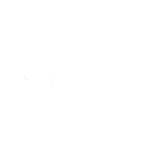 CCCN(C)/C=N/c1cc(C)c(Oc2ccc(I)c(Cl)c2)cc1C